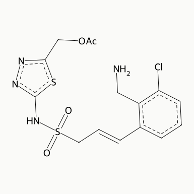 CC(=O)OCc1nnc(NS(=O)(=O)CC=Cc2cccc(Cl)c2CN)s1